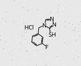 Cl.Fc1cccc(Cn2cnnc2S)c1